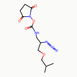 CC(C)COCC(CNC(=O)ON1C(=O)CCC1=O)N=[N+]=[N-]